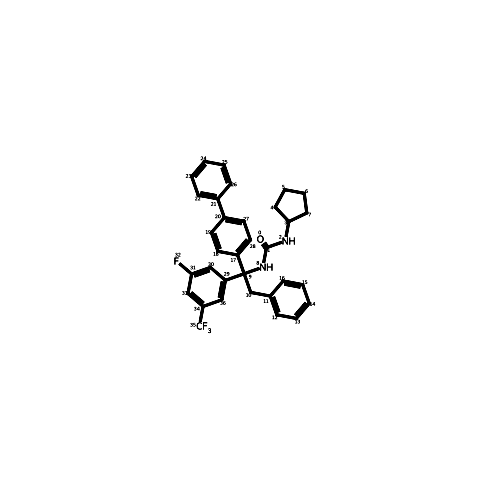 O=C(NC1CCCC1)NC(Cc1ccccc1)(c1ccc(-c2ccccc2)cc1)c1cc(F)cc(C(F)(F)F)c1